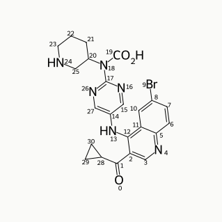 O=C(c1cnc2ccc(Br)cc2c1Nc1cnc(N(C(=O)O)C2CCCNC2)nc1)C1CC1